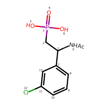 CC(=O)NC(CP(=O)(O)O)c1cccc(Cl)c1